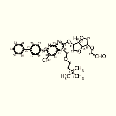 C[Si](C)(C)CCOCn1c(O[C@@H]2COC3[C@H](OCC=O)CO[C@@H]32)nc2nc(-c3ccc(-c4ccccc4)cc3)c(Cl)cc21